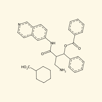 NCC(C(=O)Nc1ccc2cnccc2c1)C(OC(=O)c1ccccc1)c1ccccc1.O=C(O)C1CCCCC1